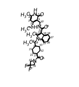 CSc1cc(C)[nH]c(=O)c1CNC(=O)c1c(C)n([C@H](C)C2CCC(C(=O)N3CC(F)(F)C3)CC2)c2ccccc12